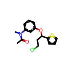 CC(=O)N(C)c1cccc(OC(CCCl)c2cccs2)c1